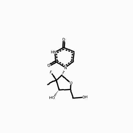 CC1(F)[C@@H](O)C(CO)O[C@H]1n1ccc(=O)[nH]c1=O